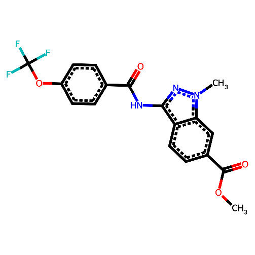 COC(=O)c1ccc2c(NC(=O)c3ccc(OC(F)(F)F)cc3)nn(C)c2c1